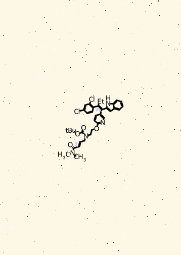 CC/C(=C(/c1ccc(OCCN(C/C=C/C(=O)N(C)C)C(=O)OC(C)(C)C)nc1)c1cc2ccccc2[nH]1)c1ccc(Cl)cc1Cl